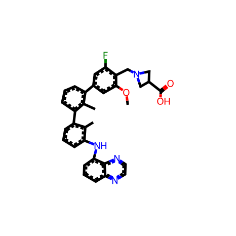 COc1cc(-c2cccc(-c3cccc(Nc4cccc5nccnc45)c3C)c2C)cc(F)c1CN1CC(C(=O)O)C1